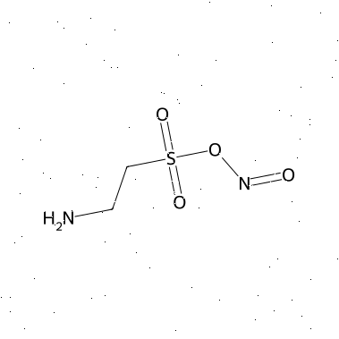 NCCS(=O)(=O)ON=O